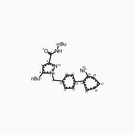 CCCCNC(=O)c1cc(CCCC)n(Cc2ccc(-c3ccccc3C#N)cc2)n1